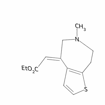 CCOC(=O)/C=C1/CN(C)CCc2sccc21